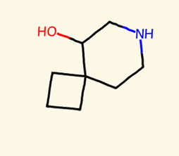 OC1CNCCC12CCC2